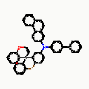 c1ccc(-c2ccc(N(c3ccc4c(c3)[Si]3(c5ccccc5Oc5ccccc53)c3ccccc3S4)c3ccc4c(ccc5ccccc54)c3)cc2)cc1